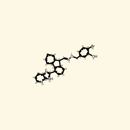 Oc1cc(CON=CC2c3ccccc3-c3c(-c4nc5cccnc5[nH]4)cccc32)ccc1Br